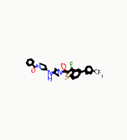 O=C(c1ccccc1)N1CC[C@H](NC2CN(C(=O)c3sc4ccc(-c5ccc(C(F)(F)F)cc5)cc4c3F)C2)C1